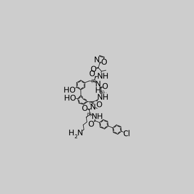 CC(NC(=O)[C@@H]1Cc2ccc(O)c(c2)-c2cc(ccc2O)[C@H](N(C)C(=O)[C@H](CCCCN)NC(=O)c2ccc(-c3ccc(Cl)cc3)cc2)C(=O)N[C@@H](C)C(=O)N1)C(=O)c1ncco1